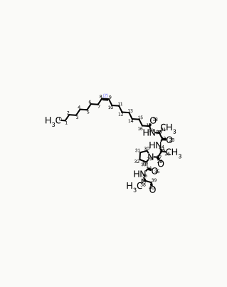 CCCCCCCC/C=C\CCCCCCCC(=O)N[C@@H](C)C(=O)N[C@@H](C)C(=O)N1CCC[C@H]1C(=O)N[C@@H](C)C=O